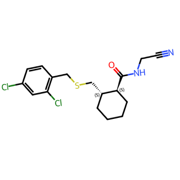 N#CCNC(=O)[C@H]1CCCC[C@@H]1CSCc1ccc(Cl)cc1Cl